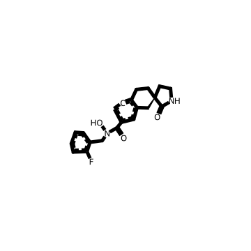 O=C(c1ccc2c(c1)C[C@]1(CCNC1=O)CC2)N(O)Cc1ccccc1F